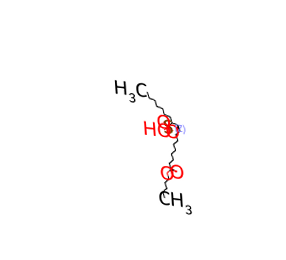 CCCCCCCCC(/C=C\CCCCCCCC(=O)OCCCCC)S(=O)(=O)O